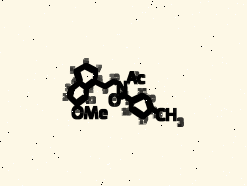 COc1ccc2cccc(CCN(C(C)=O)C(=O)c3ccc(C)cc3)c2c1